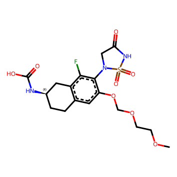 COCCOCOc1cc2c(c(F)c1N1CC(=O)NS1(=O)=O)C[C@H](NC(=O)O)CC2